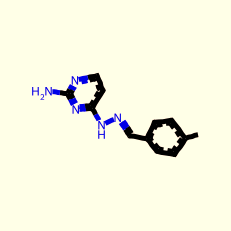 Cc1ccc(/C=N/Nc2ccnc(N)n2)cc1